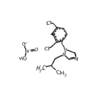 CC(C)CN1C=NCN1c1ccc(Cl)cc1Cl.O=[N+]([O-])O